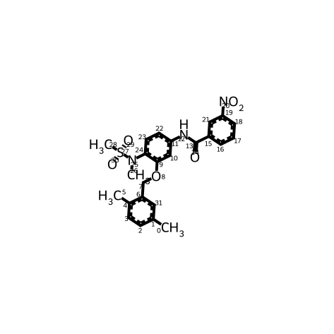 Cc1ccc(C)c(COc2cc(NC(=O)c3cccc([N+](=O)[O-])c3)ccc2N(C)S(C)(=O)=O)c1